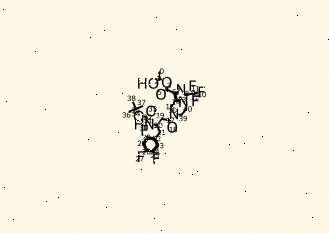 CC(O)OC(=O)c1nc(C(F)(F)F)n2c1CN(C(=O)C[C@@H](Cc1cc(F)c(F)cc1F)NC(=O)OC(C)(C)C)CC2